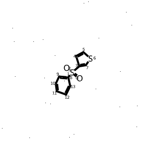 O=S(=O)(c1[c]csc1)c1ccccc1